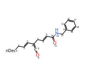 CCCCCCCCCCCC=CC(=C=O)CC=CC(=O)NCc1ccccc1